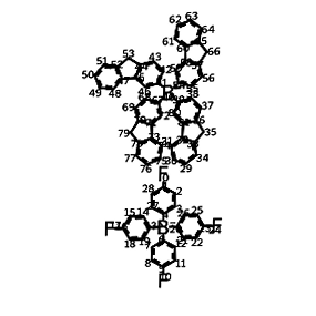 Fc1ccc([B-](c2ccc(F)cc2)(c2ccc(F)cc2)c2ccc(F)cc2)cc1.c1ccc2c(c1)Cc1ccc([B-](c3ccc4c(c3)-c3ccccc3C4)(c3ccc4c(c3)-c3ccccc3C4)c3ccc4c(c3)-c3ccccc3C4)cc1-2